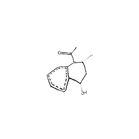 CC(=O)N1c2ccccc2[C@@H](O)C[C@H]1C